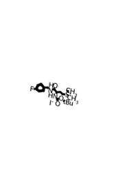 C[S+](C)CCC(NC(=O)OC(C)(C)C)C(=O)NCc1ccc(F)cc1.[I-]